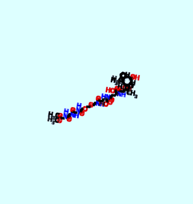 COC(CNC(=O)CNC(=O)CNC(=O)COCCOCCNC(=O)CC[C@H](NC(=O)CC[C@H](NC(=O)CC[C@@H](C)[C@H]1CC[C@H]2C[C@H](O)C[C@@H]3CCCC[C@]3(C)[C@H](C)C[C@H](O)[C@@]21C)C(=O)O)C(=O)O)OC